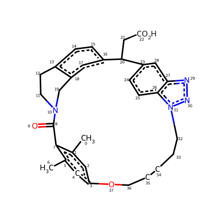 Cc1cc2cc(C)c1C(=O)N1CCc3ccc(cc3C1)C(CC(=O)O)c1ccc3c(c1)nnn3CCCCCO2